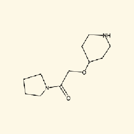 O=C(COC1CCNCC1)N1CCCC1